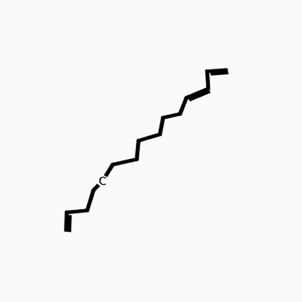 [CH]=CCCCCCCCCCC=CC=C